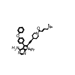 CC(C)n1c(C#CC2CCN(C(=O)/C=C/CN(C)C)CC2)c(-c2ccc(Oc3ccccc3)cc2)c2c(N)ncnc21